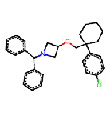 Clc1ccc(C2(COC3CN(C(c4ccccc4)c4ccccc4)C3)CCCCC2)cc1